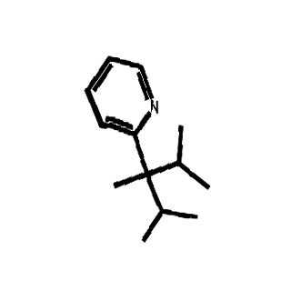 CC(C)C(C)(c1ccccn1)C(C)C